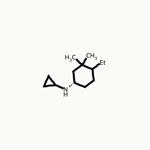 CCC1CC[C@H](NC2CC2)CC1(C)C